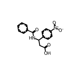 O=C(O)CC(NC(=O)c1ccccc1)c1ccc([N+](=O)[O-])cc1